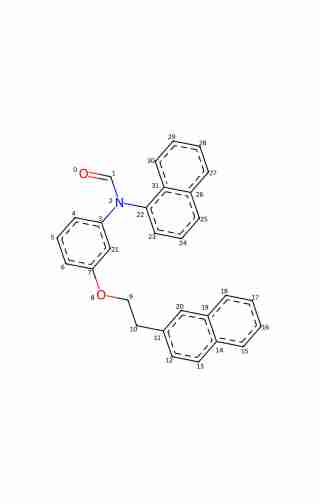 O=CN(c1cccc(OCCc2ccc3ccccc3c2)c1)c1cccc2ccccc12